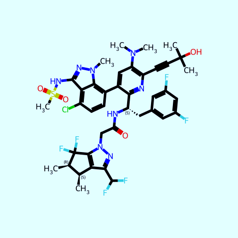 C[C@@H]1c2c(C(F)F)nn(CC(=O)N[C@@H](Cc3cc(F)cc(F)c3)c3nc(C#CC(C)(C)O)c(N(C)C)cc3-c3ccc(Cl)c4c(NS(C)(=O)=O)nn(C)c34)c2C(F)(F)[C@@H]1C